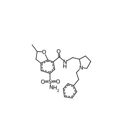 CC1Cc2cc(S(N)(=O)=O)cc(C(=O)NCC3CCCN3CCc3ccccc3)c2O1